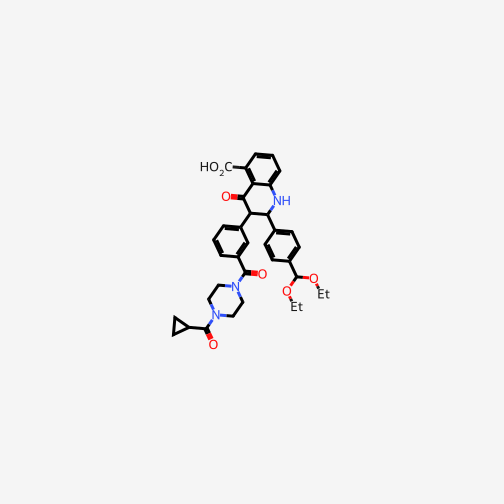 CCOC(OCC)c1ccc(C2Nc3cccc(C(=O)O)c3C(=O)C2c2cccc(C(=O)N3CCN(C(=O)C4CC4)CC3)c2)cc1